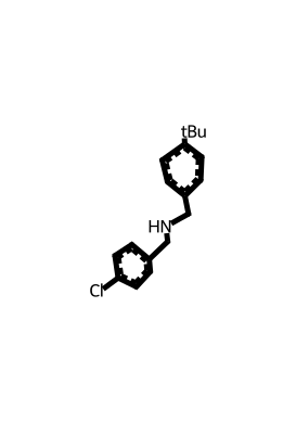 CC(C)(C)c1ccc(CNCc2ccc(Cl)cc2)cc1